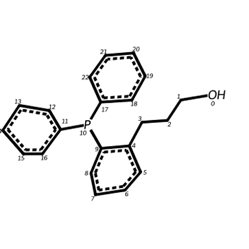 OCCCc1ccccc1P(c1ccccc1)c1ccccc1